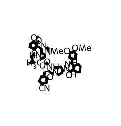 COc1ccc(C2=NN(C3CCN(C(=O)[C@@H](Cc4ccc(C#N)cc4)NC(=O)Oc4c(C)[nH]c5c(-c6c(OCC7CC7)ccc7c6OCO7)ncnc45)CC3)C(=O)[C@@H]3CCCC[C@H]23)cc1OC